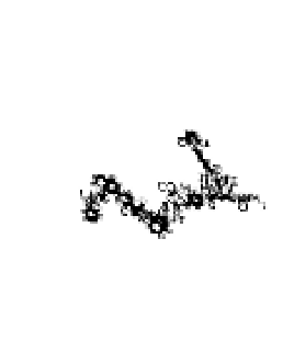 CCCC1(OCCN(CCC(=O)O)C(=O)OCc2ccc(NC(=O)[C@H](CCCNC(N)=O)NC(=O)[C@@H](NC(=O)CCCCCN3C(=O)C=CC3=O)C(C)C)cc2)CC2(C)CCCC(Cn3ncc(-c4ccc(-c5ccc6c(c5)N(C(=O)Nc5nc7ccccc7s5)CCC6)nc4C(=O)O)c3C)(C2)C1